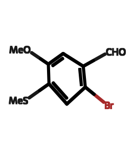 COc1cc(C=O)c(Br)cc1SC